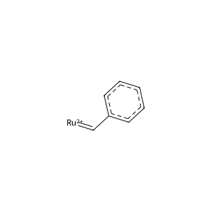 [Ru+2]=[CH]c1ccccc1